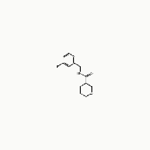 O=C(NCc1cccc(I)c1)C1CCCOC1